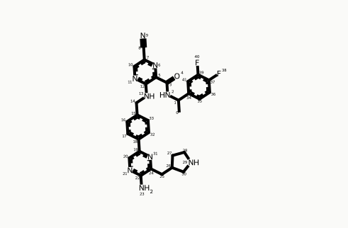 CC(NC(=O)c1nc(C#N)cnc1NCc1ccc(-c2cnc(N)c(CC3CCNC3)n2)cc1)c1ccc(F)c(F)c1